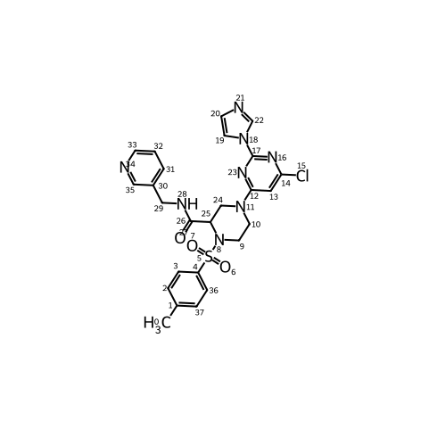 Cc1ccc(S(=O)(=O)N2CCN(c3cc(Cl)nc(-n4ccnc4)n3)CC2C(=O)NCc2cccnc2)cc1